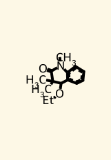 CCOC1c2ccccc2N(C)C(=O)C1(C)C